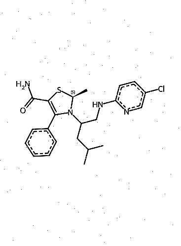 CC(C)CC(CNc1ccc(Cl)cn1)N1C(c2ccccc2)=C(C(N)=O)S[C@H]1C